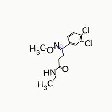 CCNC(=O)CC/C(=N\OC)c1ccc(Cl)c(Cl)c1